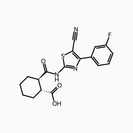 N#Cc1sc(NC(=O)[C@@H]2CCCC[C@H]2C(=O)O)nc1-c1cccc(F)c1